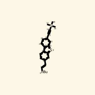 CCCC/C=C/c1ccc2c(c1)sc1cc(C#C[Si](C)(C)C)ccc12